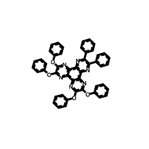 c1ccc(Oc2nc3c4nc(Oc5ccccc5)c(Oc5ccccc5)nc4c4nc(-c5ccccc5)c(-c5ccccc5)nc4c3nc2Oc2ccccc2)cc1